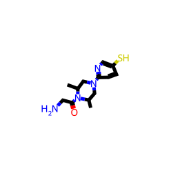 CC1CN(c2ccc(S)cn2)CC(C)N1C(=O)CN